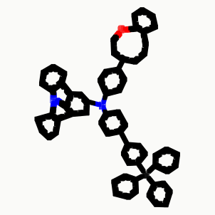 c1ccc([Si](c2ccccc2)(c2ccccc2)c2ccc(-c3ccc(N(c4ccc(-c5cccc6ccccc6occ5)cc4)c4cc5c6ccccc6n6c7ccccc7c(c4)c56)cc3)cc2)cc1